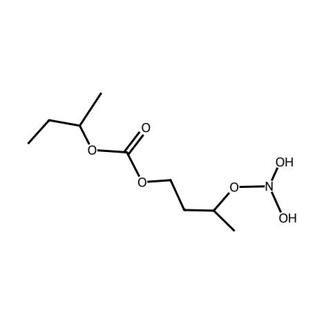 CCC(C)OC(=O)OCCC(C)ON(O)O